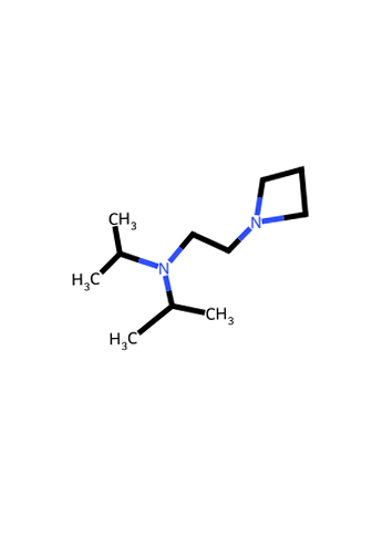 CC(C)N(CCN1CCC1)C(C)C